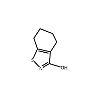 Oc1nsc2c1CCCC2